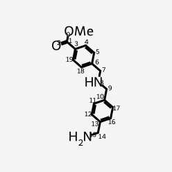 COC(=O)c1ccc(CNCc2ccc(CN)cc2)cc1